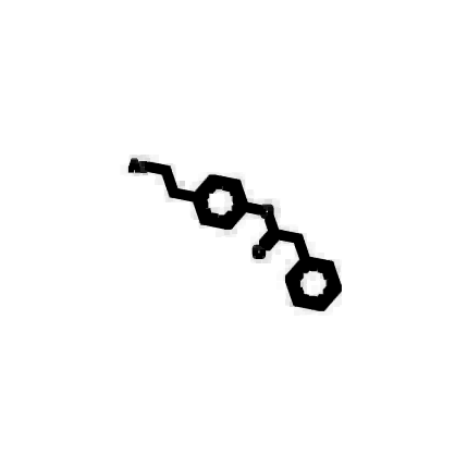 CC(=O)CCc1ccc(OC(=O)Cc2ccccc2)cc1